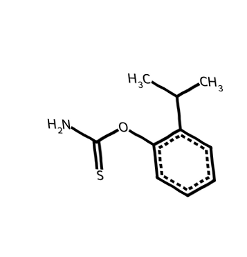 CC(C)c1ccccc1OC(N)=S